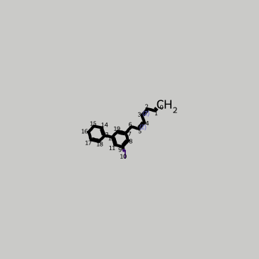 C=C/C=C\C=C/Cc1cc(I)cc(C2=CCCC=C2)c1